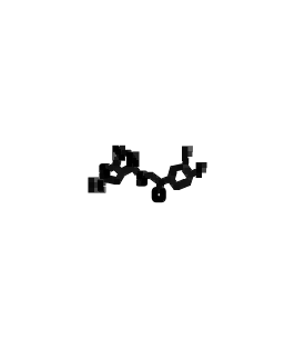 CCc1cc2c(SCC(=O)c3ccc(F)c(F)c3)ncnc2s1